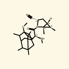 CN[C@H](C(=O)N1[C@H](C#N)C[C@@H]2[C@@H](C)[C@@]21C)C12CC3C(C)C(C)(C1)C(C)(C)C(OC)(C2)C3C